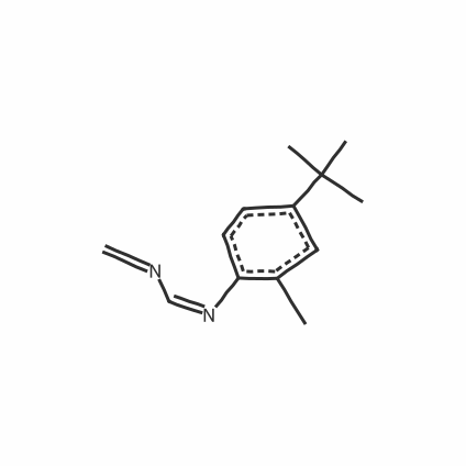 C=N/C=N\c1ccc(C(C)(C)C)cc1C